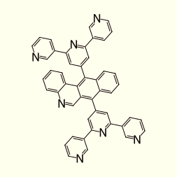 c1cncc(-c2cc(-c3c4ccccc4c(-c4cc(-c5cccnc5)nc(-c5cccnc5)c4)c4c3cnc3ccccc34)cc(-c3cccnc3)n2)c1